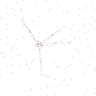 CCCCCCCCC=CCCCCCCCC(=O)[N+](C(=O)CCCCCCCC=CCCCCCCCC)(C(=O)CCCCCCCC=CCCCCCCCC)C(=O)CCCCCCCC=CCCCCCCCC